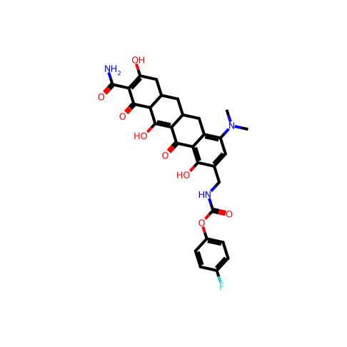 CN(C)c1cc(CNC(=O)Oc2ccc(F)cc2)c(O)c2c1CC1CC3CC(O)=C(C(N)=O)C(=O)C3C(O)=C1C2=O